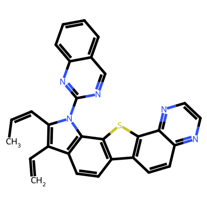 C=Cc1c(/C=C\C)n(-c2ncc3ccccc3n2)c2c1ccc1c3ccc4nccnc4c3sc12